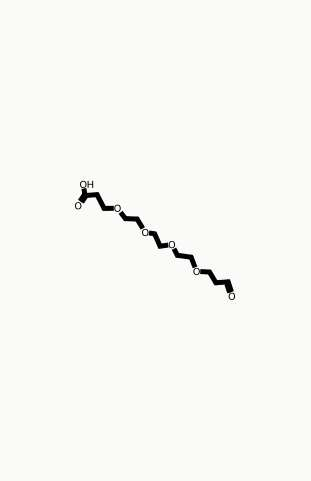 O=CCCOCCOCCOCCOCCC(=O)O